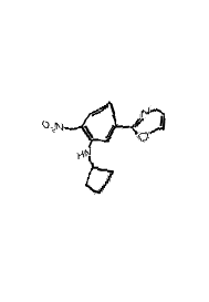 O=[N+]([O-])c1ccc(-c2ncco2)cc1NC1CCC1